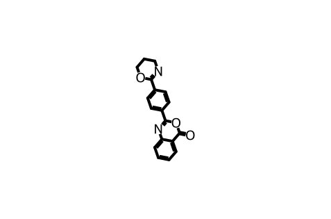 O=c1oc(-c2ccc(C3=NCCCO3)cc2)nc2ccccc12